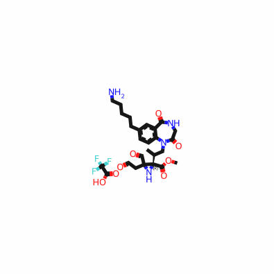 COC(=O)[C@]1(C(C)CN2C(=O)CNC(=O)c3cc(CCCCCN)ccc32)NC1(C=O)CC=O.O=C(O)C(F)(F)F